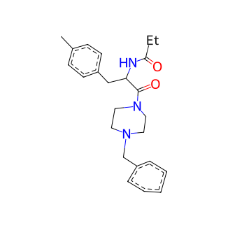 CCC(=O)NC(Cc1ccc(C)cc1)C(=O)N1CCN(Cc2ccccc2)CC1